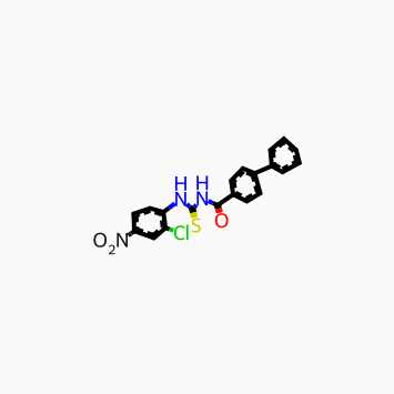 O=C(NC(=S)Nc1ccc([N+](=O)[O-])cc1Cl)c1ccc(-c2ccccc2)cc1